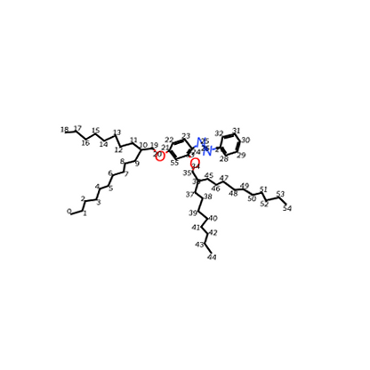 CCCCCCCCCCC(CCCCCCCC)COc1ccc(/N=N/c2ccccc2)c(OCC(CCCCCCCC)CCCCCCCCCC)c1